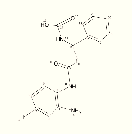 Nc1cc(I)ccc1NC(=O)C[C@H](NC(=O)O)c1ccccc1